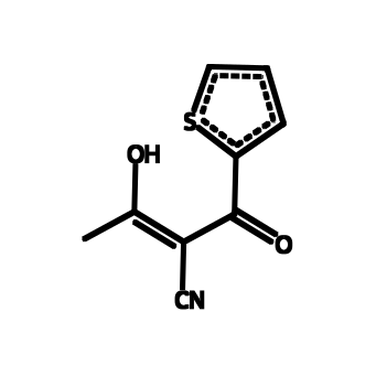 CC(O)=C(C#N)C(=O)c1cccs1